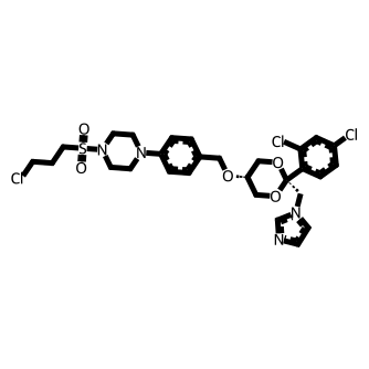 O=S(=O)(CCCCl)N1CCN(c2ccc(CO[C@H]3CO[C@](Cn4ccnc4)(c4ccc(Cl)cc4Cl)OC3)cc2)CC1